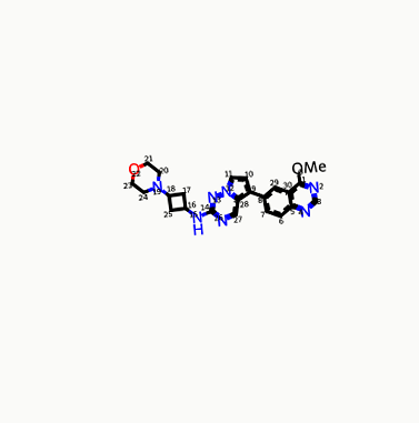 COc1ncnc2ccc(-c3ccn4nc(NC5CC(N6CCOCC6)C5)ncc34)cc12